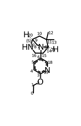 CCOc1ccc(N2C[C@@H]3CC(C)(C)[C@H]2CCN3)cn1